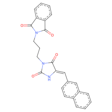 O=C1N/C(=C\c2ccc3ccccc3c2)C(=O)N1CCCN1C(=O)c2ccccc2C1=O